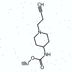 C#CCCN1CCC(NC(=O)OC(C)(C)C)CC1